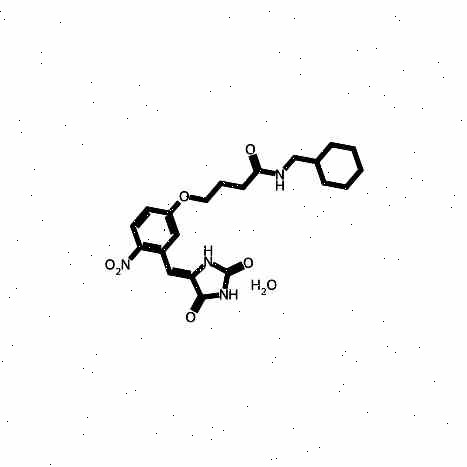 O.O=C(CCCOc1ccc([N+](=O)[O-])c(C=C2NC(=O)NC2=O)c1)NCC1CCCCC1